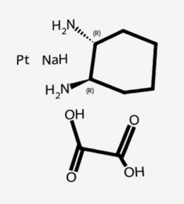 N[C@@H]1CCCC[C@H]1N.O=C(O)C(=O)O.[NaH].[Pt]